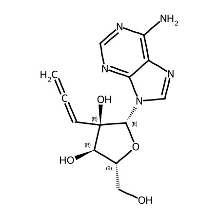 C=C=C[C@@]1(O)[C@H](O)[C@@H](CO)O[C@H]1n1cnc2c(N)ncnc21